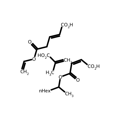 C=C(C)C(=O)O.C=COC(=O)CC=CC(=O)O.CCCCCCC(C)OC(=O)/C=C\C(=O)O